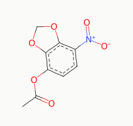 CC(=O)Oc1ccc([N+](=O)[O-])c2c1OCO2